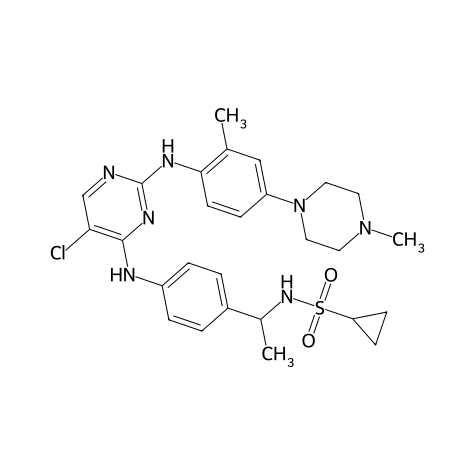 Cc1cc(N2CCN(C)CC2)ccc1Nc1ncc(Cl)c(Nc2ccc(C(C)NS(=O)(=O)C3CC3)cc2)n1